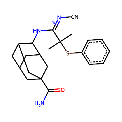 CC(C)(Sc1ccccc1)/C(=N\C#N)NC1C2CC3CC1CC(C(N)=O)(C3)C2